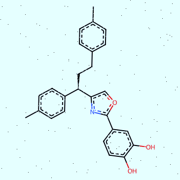 Cc1ccc(C[CH][C@H](c2ccc(C)cc2)c2coc(-c3ccc(O)c(O)c3)n2)cc1